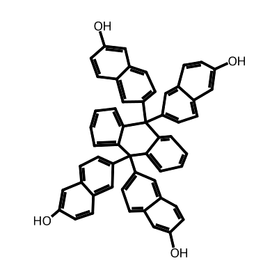 Oc1ccc2cc(C3(c4ccc5cc(O)ccc5c4)c4ccccc4C(c4ccc5cc(O)ccc5c4)(c4ccc5cc(O)ccc5c4)c4ccccc43)ccc2c1